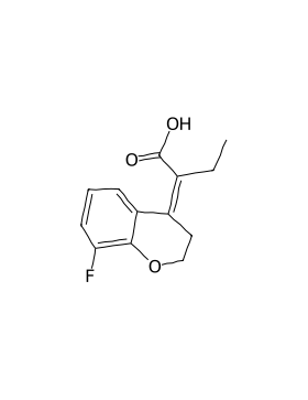 CC/C(C(=O)O)=C1\CCOc2c(F)cccc21